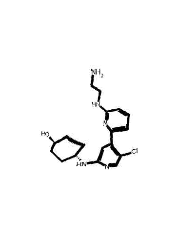 NCCNc1cccc(-c2cc(N[C@H]3CC[C@H](O)CC3)ncc2Cl)n1